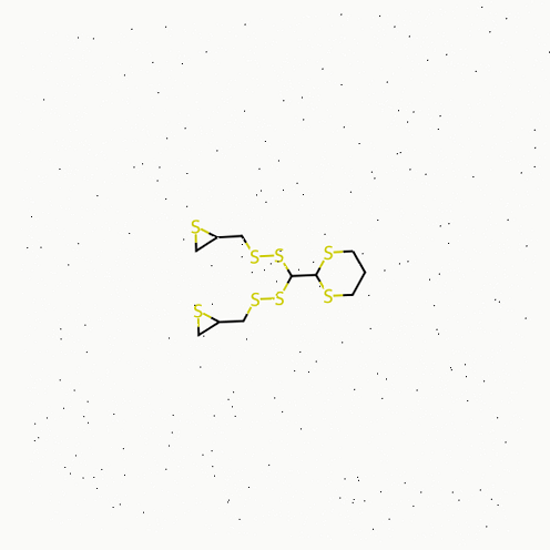 C1CSC(C(SSCC2CS2)SSCC2CS2)SC1